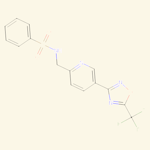 O=S(=O)(NCc1ccc(-c2noc(C(F)(F)F)n2)cn1)c1ccccc1